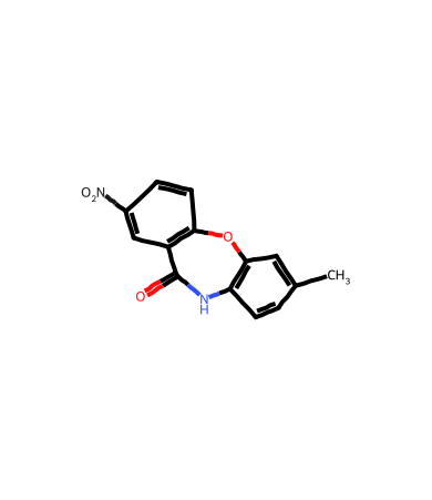 Cc1ccc2c(c1)Oc1ccc([N+](=O)[O-])cc1C(=O)N2